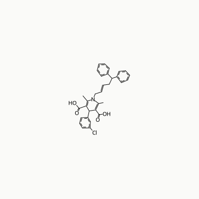 CC1=C(C(=O)O)C(c2cccc(Cl)c2)C(C(=O)O)=C(C)N1CC=CCC(c1ccccc1)c1ccccc1